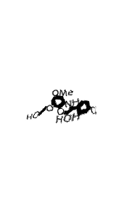 COc1cc(NC(c2ccc(Cl)cc2)C(O)O)cc(OCCO)c1